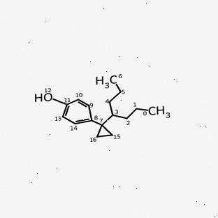 CCCC(CCC)C1(c2ccc(O)cc2)CC1